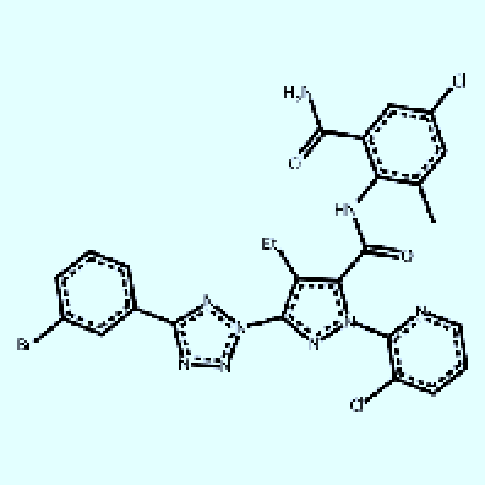 CCc1c(-n2nnc(-c3cccc(Br)c3)n2)nn(-c2ncccc2Cl)c1C(=O)Nc1c(C)cc(Cl)cc1C(N)=O